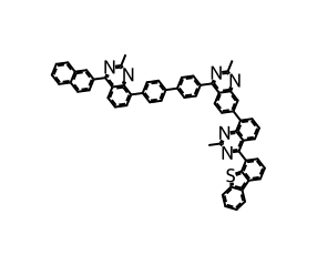 Cc1nc(-c2ccc(-c3ccc(-c4cccc5c(-c6ccc7ccccc7c6)nc(C)nc45)cc3)cc2)c2ccc(-c3cccc4c(-c5cccc6c5sc5ccccc56)nc(C)nc34)cc2n1